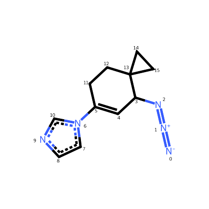 [N-]=[N+]=NC1C=C(n2ccnc2)CCC12CC2